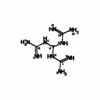 N=C(N)[NH][Y]([NH]C(=N)N)[NH]C(=N)N